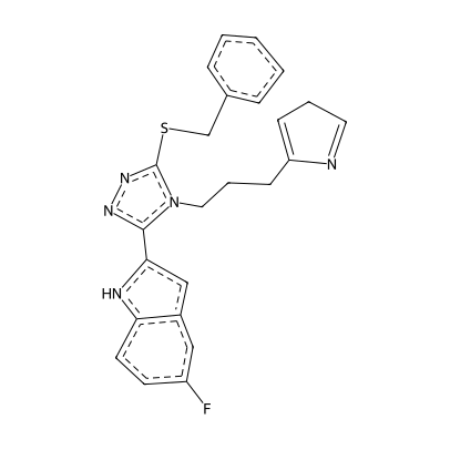 Fc1ccc2[nH]c(-c3nnc(SCc4ccccc4)n3CCCC3=CCC=N3)cc2c1